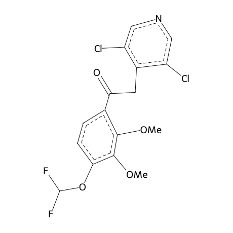 COc1c(OC(F)F)ccc(C(=O)Cc2c(Cl)cncc2Cl)c1OC